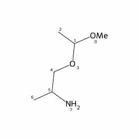 COC(C)OCC(C)N